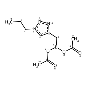 CCCn1cc(CB(OC(C)=O)OC(C)=O)nn1